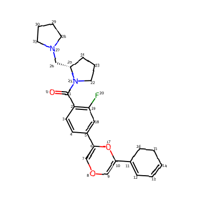 O=C(c1ccc(C2=COC=C(C3=CC=CCC3)O2)cc1F)N1CCC[C@H]1CN1CCCC1